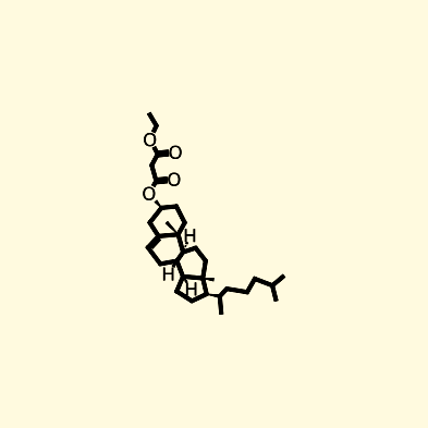 CCOC(=O)CC(=O)O[C@H]1CC[C@@]2(C)C(=CC[C@H]3[C@@H]4CC[C@H](C(C)CCCC(C)C)[C@@]4(C)CC[C@@H]32)C1